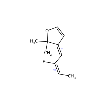 C/C=C(F)\C=C1\C=COC1(C)C